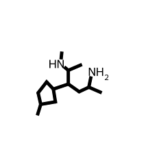 CNC(C)C(CC(C)N)C1CCC(C)C1